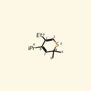 CCC1=CSC(C)(C)C=C1C(C)C